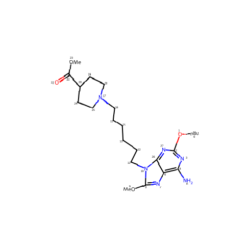 CCCCOc1nc(N)c2nc(OC)n(CCCCCCN3CCC(C(=O)OC)CC3)c2n1